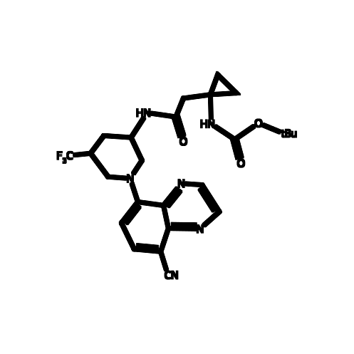 CC(C)(C)OC(=O)NC1(CC(=O)NC2CC(C(F)(F)F)CN(c3ccc(C#N)c4nccnc34)C2)CC1